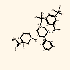 C[C@@H](O[C@H]1COC[C@@H](CN2CCC[C@@](C)(C(=O)O)C2)[C@@H]1c1ccccc1)c1cc(C(F)(F)F)cc(C(F)(F)F)c1